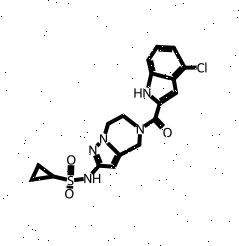 O=C(c1cc2c(Cl)cccc2[nH]1)N1CCn2nc(NS(=O)(=O)C3CC3)cc2C1